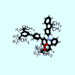 CC(C)(C)c1ccc(-c2ccccc2N(c2cc(-c3ccc(-c4cc(C(C)(C)C)cc(C(C)(C)C)c4)cc3)cc(C(C)(C)C)c2)c2ccc3c(c2)C(C)(C)c2ccccc2-3)cc1